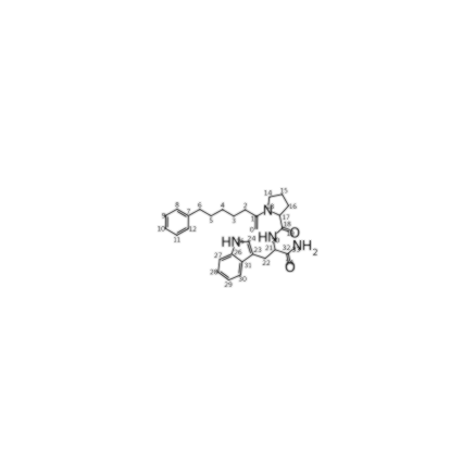 C=C(CCCCCc1ccccc1)N1CCCC1C(=O)NC(Cc1c[nH]c2ccccc12)C(N)=O